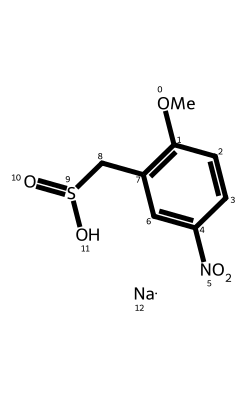 COc1ccc([N+](=O)[O-])cc1CS(=O)O.[Na]